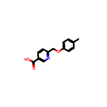 O=C(O)c1ccc(COc2ccc(I)cc2)nc1